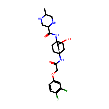 CC1CNC(C(=O)NC23CCC(NC(=O)COc4ccc(Cl)c(F)c4)(CC2)CC3O)CN1